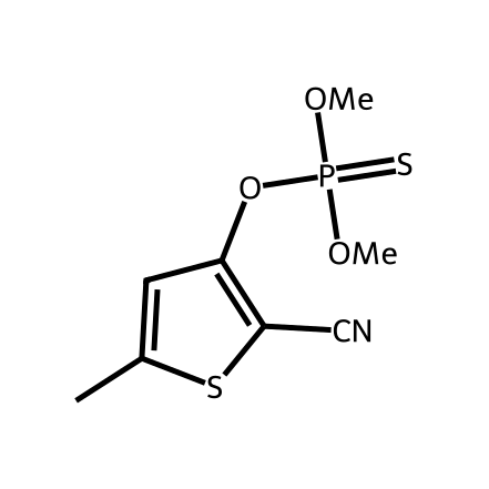 COP(=S)(OC)Oc1cc(C)sc1C#N